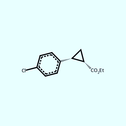 CCOC(=O)[C@H]1C[C@H]1c1ccc(Cl)cc1